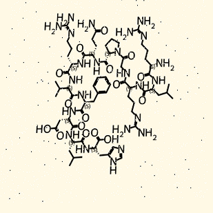 CC(C)C[C@H](NC(=O)[C@H](CC(=O)O)NC(=O)[C@H](Cc1ccccc1)NC(=O)[C@@H](NC(=O)[C@H](CCCN=C(N)N)NC(=O)[C@H](CCC(N)=O)NC(=O)[C@@H]1CCCN1C(=O)CNC(=O)[C@H](CCCN=C(N)N)NC(=O)[C@H](CC(C)C)NC(=O)[C@@H](N)CCCN=C(N)N)C(C)C)C(=O)N[C@@H](Cc1cnc[nH]1)C(=O)O